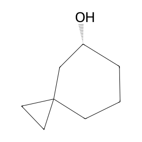 O[C@@H]1CCCC2(CC2)C1